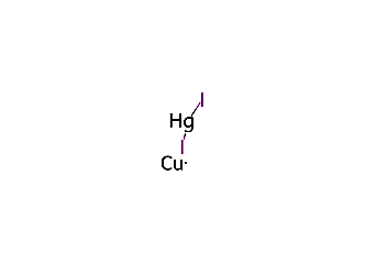 [Cu].[I][Hg][I]